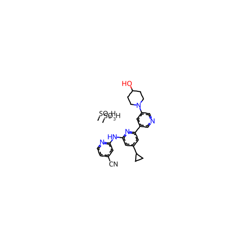 CS(=O)(=O)O.CS(=O)(=O)O.N#Cc1ccnc(Nc2cc(C3CC3)cc(-c3cncc(N4CCC(O)CC4)c3)n2)c1